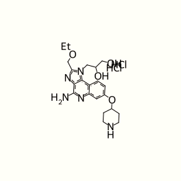 CCOCc1nc2c(N)nc3cc(OC4CCNCC4)ccc3c2n1CC(O)CO.Cl.Cl